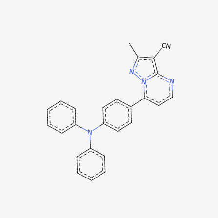 Cc1nn2c(-c3ccc(N(c4ccccc4)c4ccccc4)cc3)ccnc2c1C#N